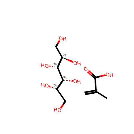 C=C(C)C(=O)O.OC[C@@H](O)[C@@H](O)[C@H](O)[C@@H](O)CO